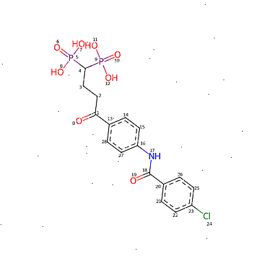 O=C(CCC(P(=O)(O)O)P(=O)(O)O)c1ccc(NC(=O)c2ccc(Cl)cc2)cc1